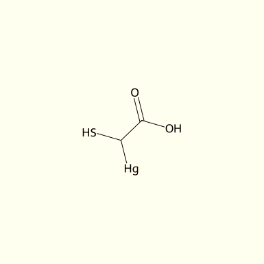 O=C(O)[CH](S)[Hg]